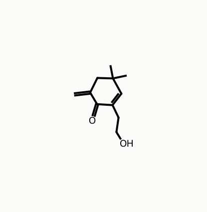 C=C1CC(C)(C)C=C(CCO)C1=O